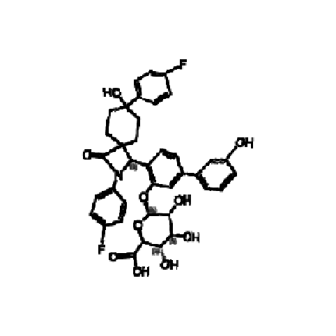 O=C(O)C1O[C@@H](Oc2cc(-c3cccc(O)c3)ccc2[C@H]2N(c3ccc(F)cc3)C(=O)C23CCC(O)(c2ccc(F)cc2)CC3)C(O)[C@@H](O)[C@@H]1O